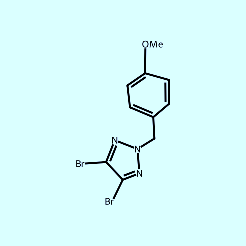 COc1ccc(Cn2nc(Br)c(Br)n2)cc1